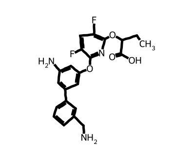 CCC(Oc1nc(Oc2cc(N)cc(-c3cccc(CN)c3)c2)c(F)cc1F)C(=O)O